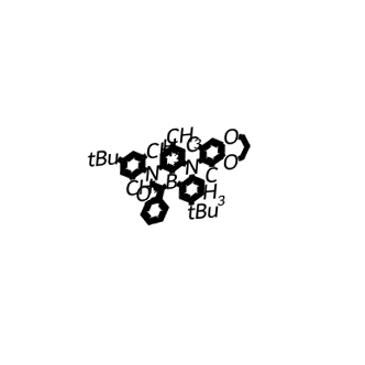 Cc1cc2c3c(c1)N(c1c(C)cc(C(C)(C)C)cc1C)c1oc4ccccc4c1B3c1cc(C(C)(C)C)ccc1N2c1c(C)cc2c(c1C)OCCCO2